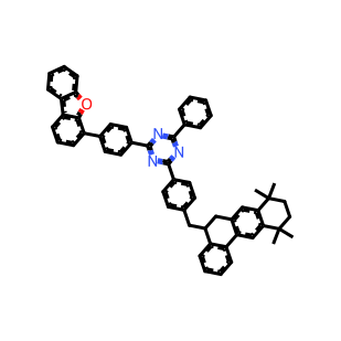 CC1(C)CCC(C)(C)c2cc3c(cc21)CC(Cc1ccc(-c2nc(-c4ccccc4)nc(-c4ccc(-c5cccc6c5oc5ccccc56)cc4)n2)cc1)c1ccccc1-3